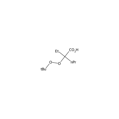 CCCC(CC)(OOC(C)(C)C)C(=O)O